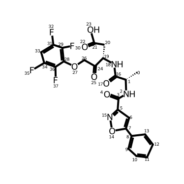 C[C@H](NC(=O)c1cc(-c2ccccc2)on1)C(=O)N[C@@H](CC(=O)O)C(=O)COc1c(F)c(F)cc(F)c1F